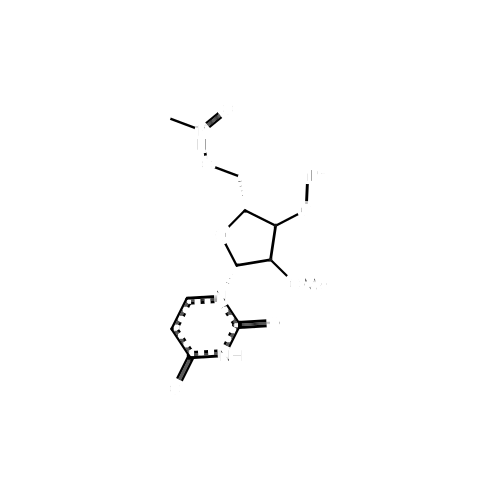 COC1C(OC(C)C)[C@@H](CO[PH](C)=O)O[C@H]1n1ccc(=O)[nH]c1=O